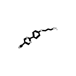 CCCCOc1ccc(-c2ncc(C#N)cn2)cc1